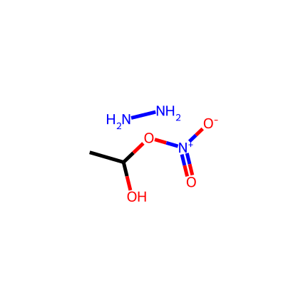 CC(O)O[N+](=O)[O-].NN